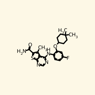 Cc1c(C(N)=O)sc2ncnc(Nc3ccc(F)cc3OC3CCC(C)(C)CC3)c12